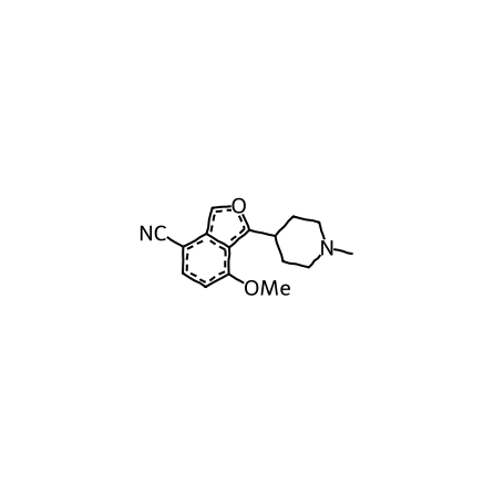 COc1ccc(C#N)c2coc(C3CCN(C)CC3)c12